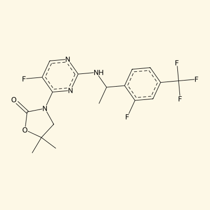 CC(Nc1ncc(F)c(N2CC(C)(C)OC2=O)n1)c1ccc(C(F)(F)F)cc1F